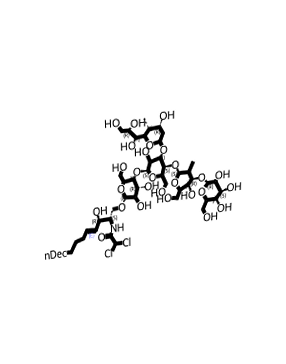 CCCCCCCCCCCCC/C=C/[C@@H](O)[C@H](CO[C@@H]1OC(CO)[C@@H](O[C@@H]2OC(CO)[C@H](O[C@@H]3OC(CO)[C@H](O)[C@H](O[C@@H]4OC(CO)[C@H](O)[C@H](O)C4O)C3C)[C@H](OC3C[C@@H](O)[C@@H](C)C([C@H](O)[C@H](O)CO)O3)C2O)[C@H](O)C1O)NC(=O)C(Cl)Cl